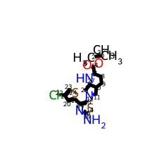 CC(C)(C)OC(=O)C1CCC2CN(c3sc(N)nc3-c3cc(Cl)cs3)CC2N1